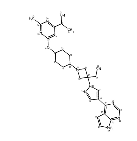 CC(O)c1cc(OC2CCC(N3CC(CC#N)(n4cc(-c5ncnc6[nH]ccc56)cn4)C3)CC2)nc(C(F)(F)F)n1